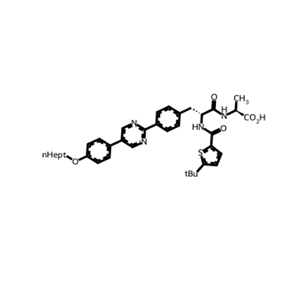 CCCCCCCOc1ccc(-c2cnc(-c3ccc(C[C@@H](NC(=O)c4ccc(C(C)(C)C)s4)C(=O)N[C@@H](C)C(=O)O)cc3)nc2)cc1